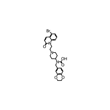 O=C(O)N(Cc1ccc2c(c1)OCCO2)C1CCN(CCn2c(=O)ccc3c(Br)cccc32)CC1